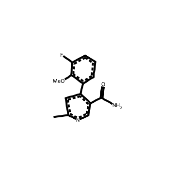 COc1c(F)cccc1-c1cc(C)ncc1C(N)=O